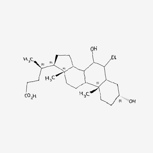 CCC1C(O)C2C(CC[C@@]3(C)C2CC[C@@H]3[C@H](C)CCC(=O)O)[C@@]2(C)CC[C@@H](O)CC12